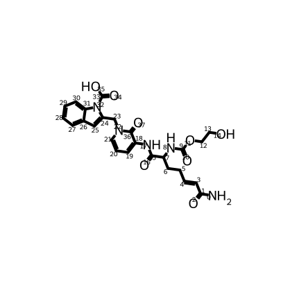 NC(=O)C=CCCC(NC(=O)OCCO)C(=O)Nc1cccn(Cc2cc3ccccc3n2C(=O)O)c1=O